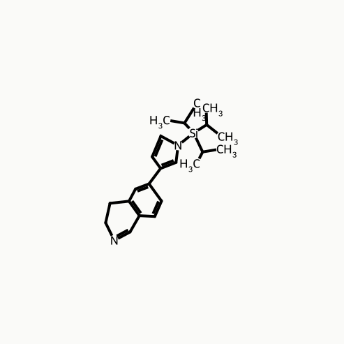 CC(C)[Si](C(C)C)(C(C)C)n1ccc(-c2ccc3c(c2)CCN=C3)c1